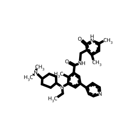 CCN(c1cc(-c2ccncc2)cc(C(=O)NCc2c(C)cc(C)[nH]c2=O)c1C)C1CCC(N(C)C)CC1